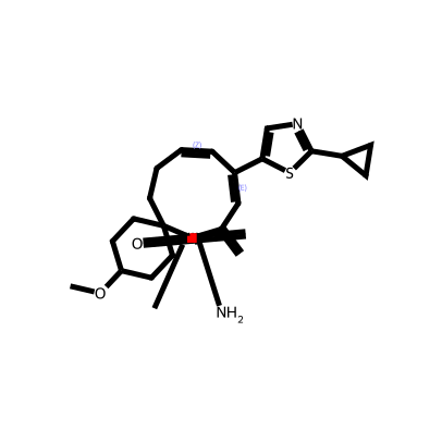 C=C1/C=C(c2cnc(C3CC3)s2)\C=C/CCC2(CCC(OC)CC2)C12N=C(N)N(C)C2=O